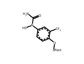 CCCCCOc1ccc(N(S)C(N)=O)cc1C(F)(F)F